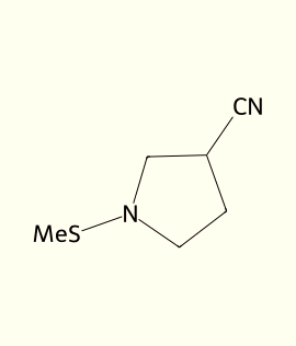 CSN1CCC(C#N)C1